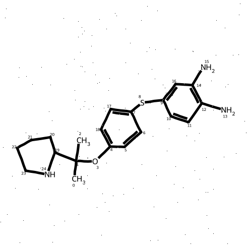 CC(C)(Oc1ccc(Sc2ccc(N)c(N)c2)cc1)C1CCCCN1